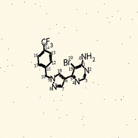 Nc1ncnc(-c2cnn(Cc3ccc(C(F)(F)F)cc3)c2)c1Br